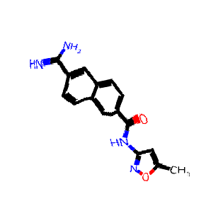 Cc1cc(NC(=O)c2ccc3cc(C(=N)N)ccc3c2)no1